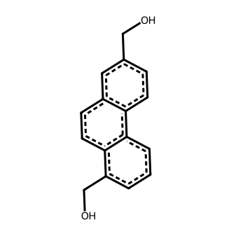 OCc1ccc2c(ccc3c(CO)cccc32)c1